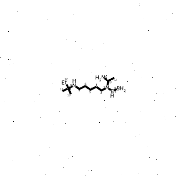 BBN(CCCCCNC(C)(C)CC)C(C)N